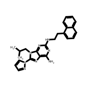 CC(C)Cn1c(-n2cccn2)nc2c(N)nc(NCCc3cccc4ccccc34)nc21